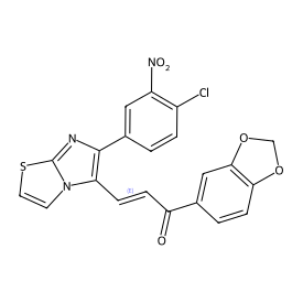 O=C(/C=C/c1c(-c2ccc(Cl)c([N+](=O)[O-])c2)nc2sccn12)c1ccc2c(c1)OCO2